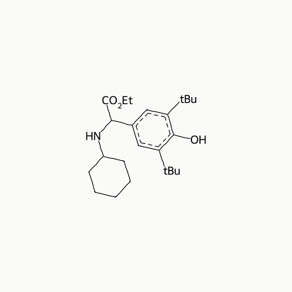 CCOC(=O)C(NC1CCCCC1)c1cc(C(C)(C)C)c(O)c(C(C)(C)C)c1